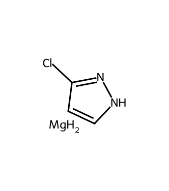 Clc1cc[nH]n1.[MgH2]